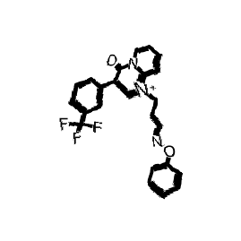 O=c1c(-c2cccc(C(F)(F)F)c2)c[n+](CCC=NOc2ccccc2)c2ccccn12